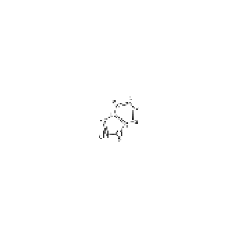 [c]1cccc2on[c]c12